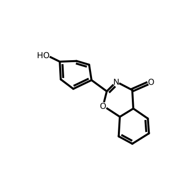 O=C1N=C(c2ccc(O)cc2)OC2C=CC=CC12